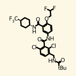 CC(C)(C)C(=O)NCc1ccc(Cl)c(C(=O)Nc2ccc(OCC(F)F)c(C(=O)N[C@H]3CC[C@H](C(F)(F)F)CC3)c2)c1Cl